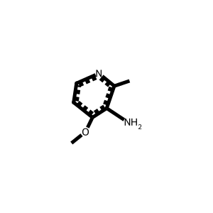 COc1ccnc(C)c1N